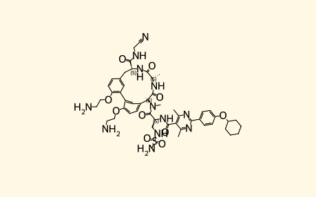 Cc1nc(-c2ccc(OC3CCCCC3)cc2)nc(C)c1C(=O)N[C@@H](CNS(N)(=O)=O)C(=O)N(C)[C@@H]1C(=O)N[C@@H](C)C(=O)N[C@H](C(=O)NCC#N)Cc2ccc(OCCN)c(c2)-c2cc1ccc2OCCN